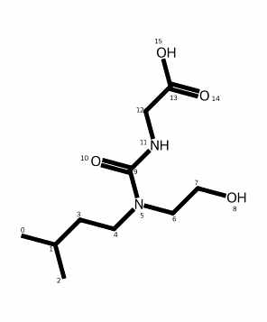 CC(C)CCN(CCO)C(=O)NCC(=O)O